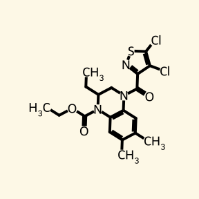 CCOC(=O)N1c2cc(C)c(C)cc2N(C(=O)c2nsc(Cl)c2Cl)CC1CC